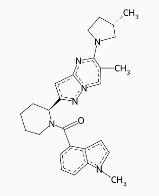 Cc1cn2nc([C@@H]3CCCCN3C(=O)c3cccc4c3ccn4C)cc2nc1N1CC[C@H](C)C1